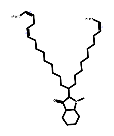 CCCCC/C=C\C/C=C\CCCCCCCCC(CCCCCCCC/C=C\CCCCCCCC)C1C(=O)C2CCCCC2N1C